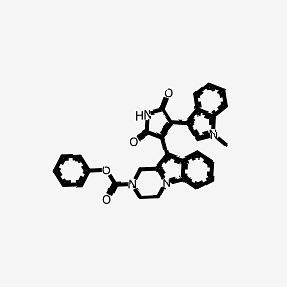 Cn1cc(C2=C(c3c4n(c5ccccc35)CCN(C(=O)Oc3ccccc3)C4)C(=O)NC2=O)c2ccccc21